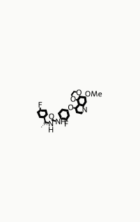 COc1cc2nccc(Oc3ccc(NC(=O)N[C@H](C)c4ccc(F)cc4)c(F)c3)c2c2c1OCCO2